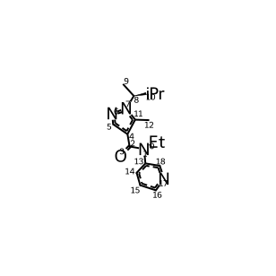 CCN(C(=O)c1cnn([C@@H](C)C(C)C)c1C)c1cccnc1